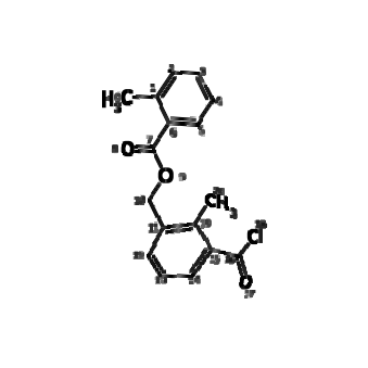 Cc1ccccc1C(=O)OCc1cccc(C(=O)Cl)c1C